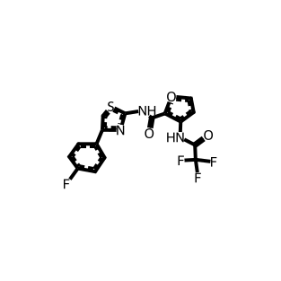 O=C(Nc1nc(-c2ccc(F)cc2)cs1)c1occc1NC(=O)C(F)(F)F